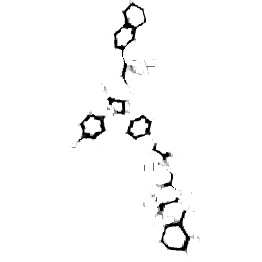 O=C(COc1ccc([C@@H]2[C@@H](SC[C@H](O)c3ccc4c(c3)CCCC4)C(=O)N2c2ccc(F)cc2)cc1)NCC(=O)N[C@H](CC1CCCCC1)C(=O)O